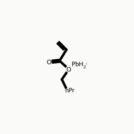 C=CC(=O)OCCCC.[PbH2]